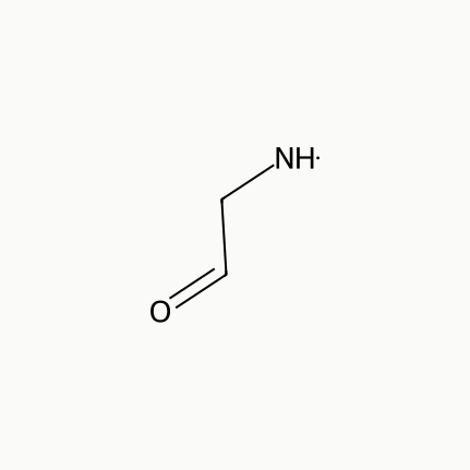 [NH]CC=O